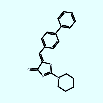 O=C1N=C(N2CCCCC2)SC1=Cc1ccc(-c2ccccc2)cc1